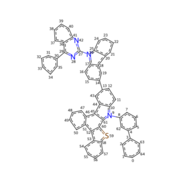 c1ccc(-c2cccc(-n3c4ccc(-c5ccc6c(c5)c5ccccc5n6-c5nc(-c6ccccc6)c6ccccc6n5)cc4c4c5ccccc5c5c6ccccc6sc5c43)c2)cc1